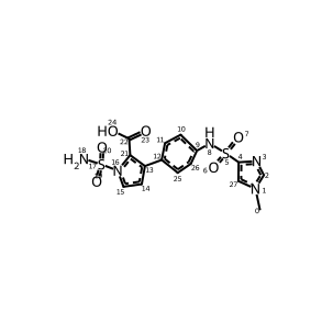 Cn1cnc(S(=O)(=O)Nc2ccc(-c3ccn(S(N)(=O)=O)c3C(=O)O)cc2)c1